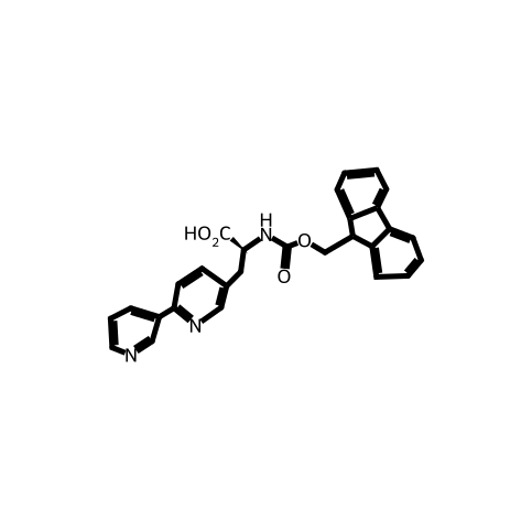 O=C(N[C@@H](Cc1ccc(-c2cccnc2)nc1)C(=O)O)OCC1c2ccccc2-c2ccccc21